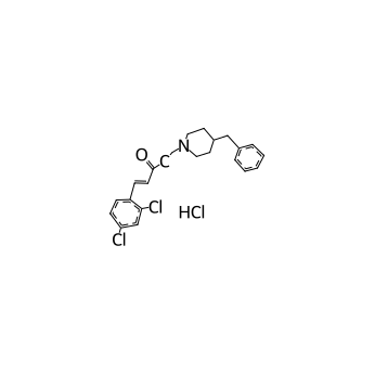 Cl.O=C(C=Cc1ccc(Cl)cc1Cl)CCN1CCC(Cc2ccccc2)CC1